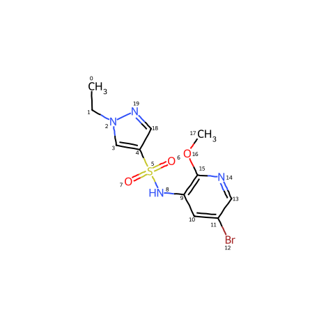 CCn1cc(S(=O)(=O)Nc2cc(Br)cnc2OC)cn1